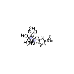 COC(=O)C(=C(/N)O)/C(=C\N)Oc1cccc(C2CC2)c1